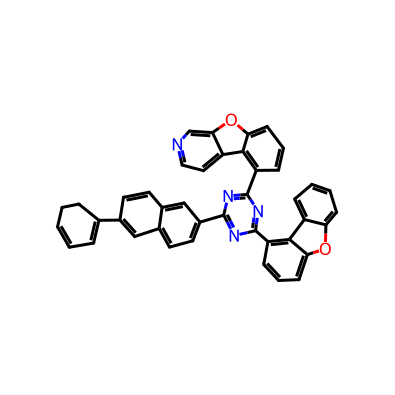 C1=CCCC(c2ccc3cc(-c4nc(-c5cccc6oc7ccccc7c56)nc(-c5cccc6oc7cnccc7c56)n4)ccc3c2)=C1